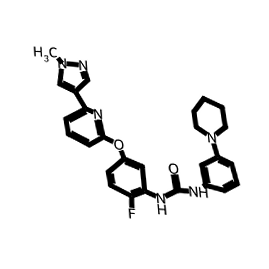 Cn1cc(-c2cccc(Oc3ccc(F)c(NC(=O)Nc4cccc(N5CCCCC5)c4)c3)n2)cn1